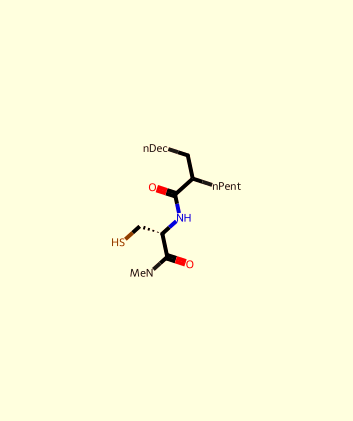 CCCCCCCCCCCC(CCCCC)C(=O)N[C@@H](CS)C(=O)NC